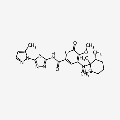 COc1c(N(C)C2(C)[SiH2]CCC[C@H]2C)cc(C(=O)Nc2nnc(-n3nccc3C)s2)oc1=O